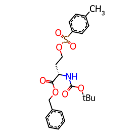 Cc1ccc(S(=O)(=O)OCC[C@H](NC(=O)OC(C)(C)C)C(=O)OCc2ccccc2)cc1